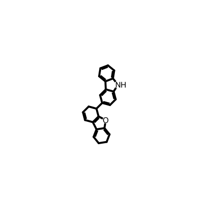 C1=Cc2c(oc3c2=CCCC=3)C(c2ccc3[nH]c4ccccc4c3c2)C1